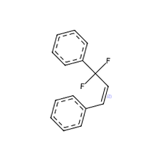 FC(F)(/C=C\c1ccccc1)c1ccccc1